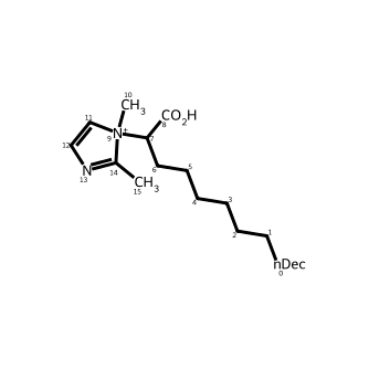 CCCCCCCCCCCCCCCCC(C(=O)O)[N+]1(C)C=CN=C1C